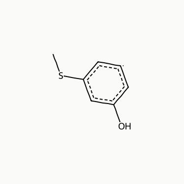 CSc1c[c]cc(O)c1